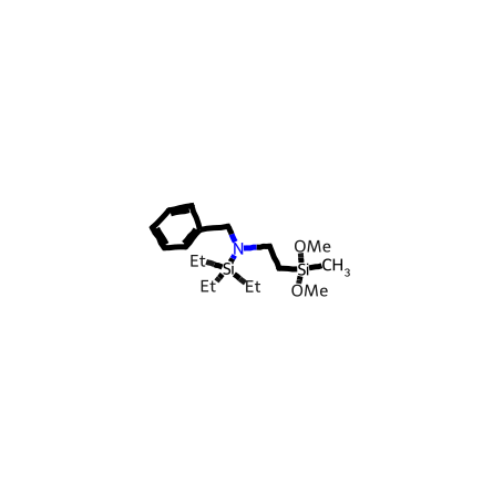 CC[Si](CC)(CC)N(CC[Si](C)(OC)OC)Cc1ccccc1